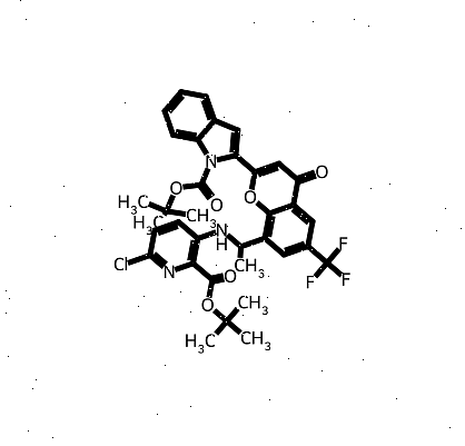 CC(Nc1ccc(Cl)nc1C(=O)OC(C)(C)C)c1cc(C(F)(F)F)cc2c(=O)cc(-c3cc4ccccc4n3C(=O)OC(C)(C)C)oc12